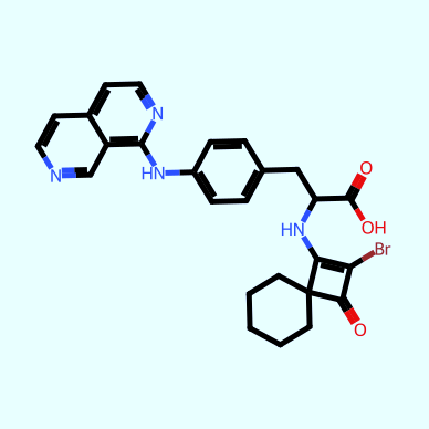 O=C(O)C(Cc1ccc(Nc2nccc3ccncc23)cc1)NC1=C(Br)C(=O)C12CCCCC2